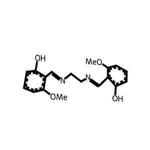 COc1cccc(O)c1/C=N/CC/N=C/c1c(O)cccc1OC